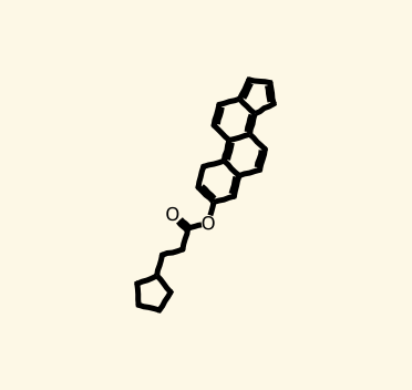 O=C(CCC1CCCC1)OC1=CCc2c(ccc3c4c(ccc23)=CC=C4)=C1